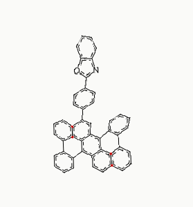 c1ccc(-c2ccccc2-c2c3ccccc3c(-c3ccccc3-c3ccccc3)c3cc(-c4ccc(-c5nc6ccccc6o5)cc4)ccc23)cc1